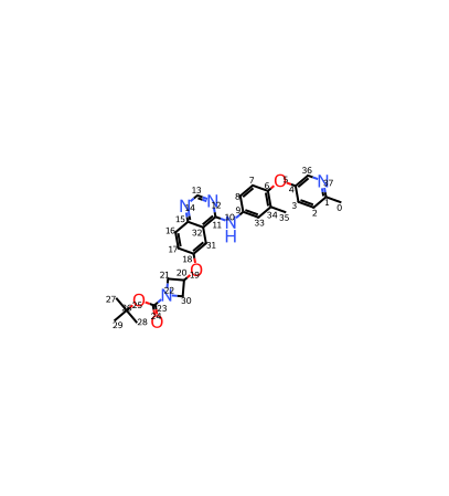 Cc1ccc(Oc2ccc(Nc3ncnc4ccc(OC5CN(C(=O)OC(C)(C)C)C5)cc34)cc2C)cn1